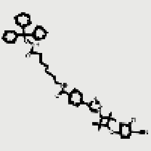 CC1(C)C(Oc2ccc(C#N)c(Cl)c2)C(C)(C)C1n1cc(-c2ccc(C(=O)NCCCCCCC(=O)NOC(c3ccccc3)(c3ccccc3)c3ccccc3)cc2)nn1